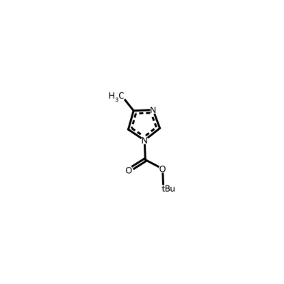 Cc1cn(C(=O)OC(C)(C)C)cn1